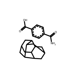 C1C2CC3C4CC5CC(C14)C(C2)C3C5.NC(=O)c1ccc(C(=O)O)cc1